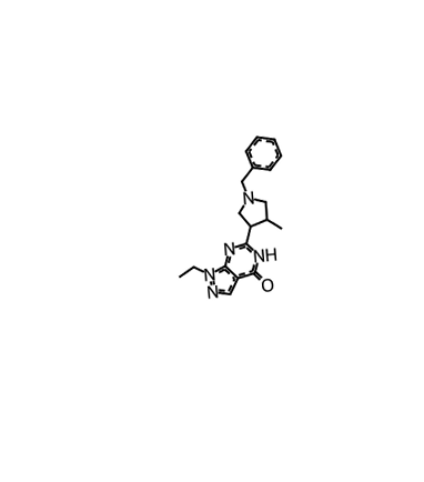 CCn1ncc2c(=O)[nH]c(C3CN(Cc4ccccc4)CC3C)nc21